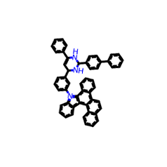 C1=C(c2ccccc2)NC(c2ccc(-c3ccccc3)cc2)NC1c1cccc(-n2c3ccccc3c3c4c5ccccc5ccc4c4ccccc4c32)c1